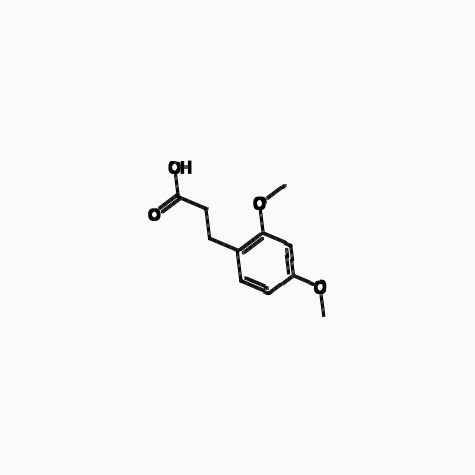 COc1ccc(CCC(=O)O)c(OC)c1